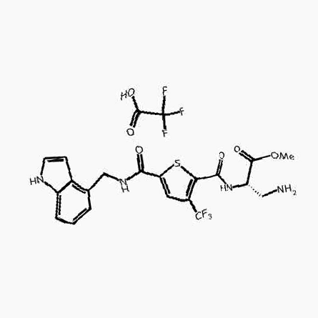 COC(=O)[C@H](CN)NC(=O)c1sc(C(=O)NCc2cccc3[nH]ccc23)cc1C(F)(F)F.O=C(O)C(F)(F)F